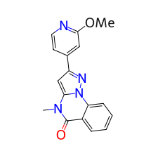 COc1cc(-c2cc3n(C)c(=O)c4ccccc4n3n2)ccn1